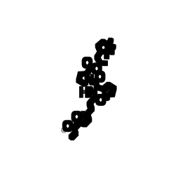 C=C/C(OC)=C(O)\C=C/C/C=C/C(=O)NC(C(=O)N1CCCC1C(=O)OC(C)CC1CCC(C)(C)C1(C)C)c1cccs1